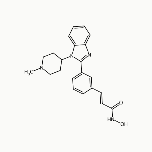 CN1CCC(n2c(-c3cccc(/C=C/C(=O)NO)c3)nc3ccccc32)CC1